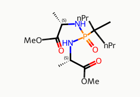 CCCC(C)(CCC)P(=O)(N[C@@H](C)C(=O)OC)N[C@@H](C)C(=O)OC